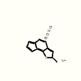 CC1C=c2ccc3c(c2O1)C=CC=3.[Cl-].[Cl-].[Cl-].[Cl-].[Ti+4]